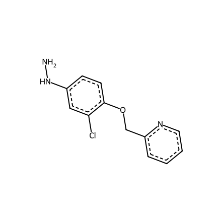 NNc1ccc(OCc2ccccn2)c(Cl)c1